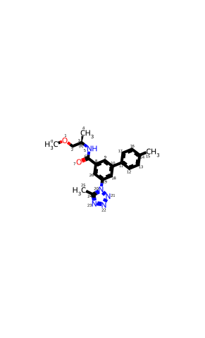 COC[C@@H](C)NC(=O)c1cc(-c2ccc(C)cc2)cc(-n2nnnc2C)c1